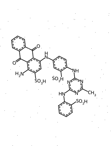 Cc1nc(Nc2ccccc2S(=O)(=O)O)nc(Nc2ccc(Nc3cc(S(=O)(=O)O)c(N)c4c3C(=O)c3ccccc3C4=O)cc2S(=O)(=O)O)n1